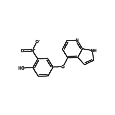 O=[N+]([O-])c1cc(Oc2ccnc3[nH]ccc23)ccc1O